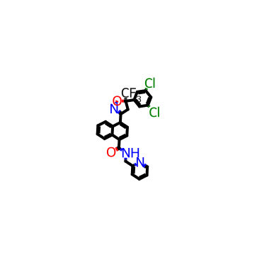 O=C(NCc1ccccn1)c1ccc(C2=NOC(c3cc(Cl)cc(Cl)c3)(C(F)(F)F)C2)c2ccccc12